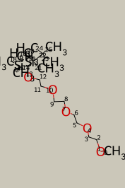 COCCOCCOCCOCCOC([Si](C)(C)C)[Si](C)(C)C(C)(C)C